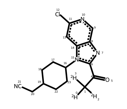 [2H]C([2H])([2H])C(=O)c1nc2cnc(Cl)cc2n1C1CCC(CC#N)CC1